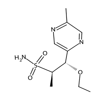 CCO[C@@H](c1cnc(C)cn1)[C@@H](C)S(N)(=O)=O